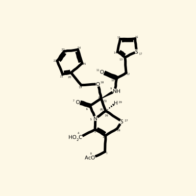 CC(=O)OCC1=C(C(=O)O)N2C(=O)[C@](NC(=O)Cc3cccs3)(OCc3ccccc3)[C@H]2SC1